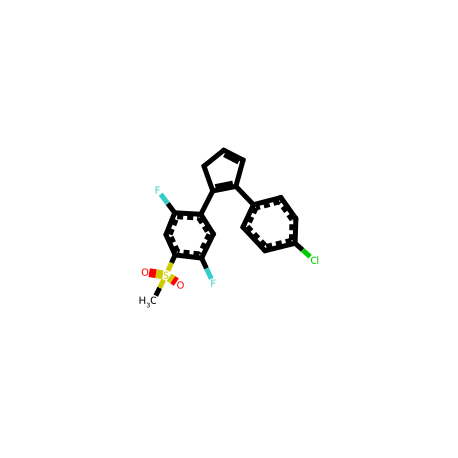 CS(=O)(=O)c1cc(F)c(C2=C(c3ccc(Cl)cc3)C=CC2)cc1F